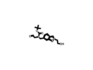 CC(C)(C)OC(=O)N(CC=O)Cc1ccc2cn(CCO)nc2c1